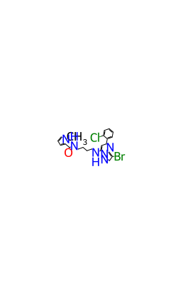 Cn1cccc1C(=O)NCCCCNc1cc(-c2ccccc2Cl)nc2c(Br)cnn12